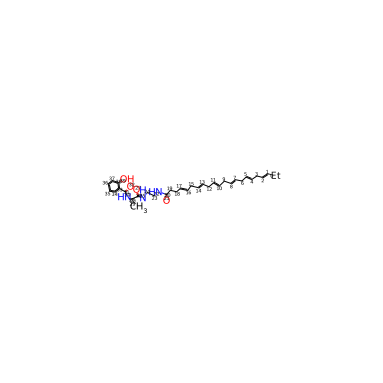 CCC=CCC=CCC=CCC=CCC=CCC=CCCC(=O)NCCNC(=O)[C@H](C)NC(=O)c1ccccc1O